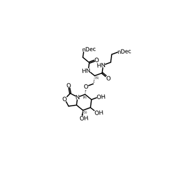 CCCCCCCCCCCCNC(=O)[C@H](CO[C@@H]1C(O)C(O)[C@@H](O)C2COC(=O)N21)NC(=O)CCCCCCCCCCC